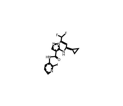 O=C(Nc1cccnc1I)c1cnn2c1NC(=C1CC1)C=C2C(F)F